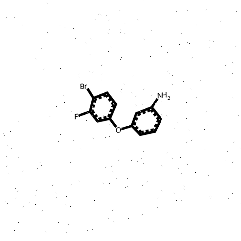 Nc1cccc(Oc2ccc(Br)c(F)c2)c1